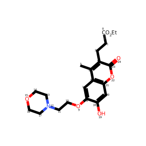 CCOC(=O)CCc1c(C)c2cc(OCCN3CCOCC3)c(O)cc2oc1=O